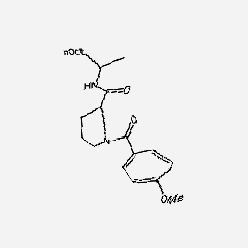 CCCCCCCCC(C)NC(=O)C1CCCN1C(=O)c1ccc(OC)cc1